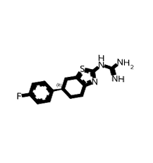 N=C(N)Nc1nc2c(s1)C[C@H](c1ccc(F)cc1)CC2